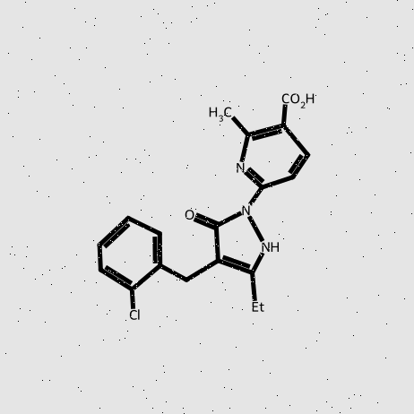 CCc1[nH]n(-c2ccc(C(=O)O)c(C)n2)c(=O)c1Cc1ccccc1Cl